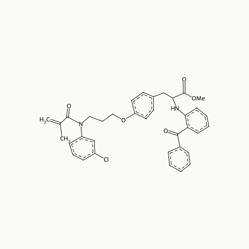 C=C(C)C(=O)N(CCCOc1ccc(CC(Nc2ccccc2C(=O)c2ccccc2)C(=O)OC)cc1)c1cccc(Cl)c1